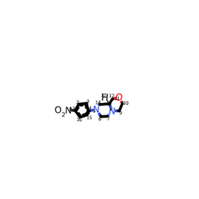 O=[N+]([O-])c1ccc(N2CCN3CCOC[C@@H]3C2)cc1